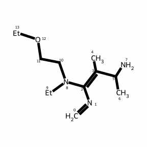 C=N/C(=C(/C)C(C)N)N(CC)CCOCC